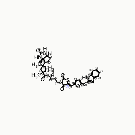 CC(C)(CC(C)(C)C1SC[C@@H]2NC(=O)N[C@H]12)C(=O)NCCCN1C(=O)S/C(=C\c2ccc(Sc3nc4ccccc4[nH]3)o2)C1=O